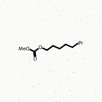 COC(=O)OCCCCCC(C)C